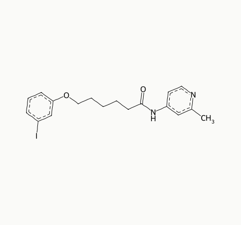 Cc1cc(NC(=O)CCCCCOc2cccc(I)c2)ccn1